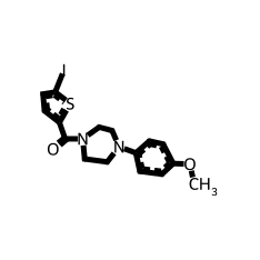 COc1ccc(N2CCN(C(=O)c3ccc(I)s3)CC2)cc1